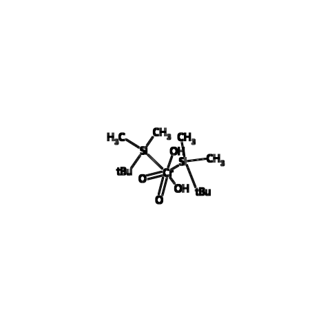 CC(C)(C)[Si](C)(C)[Cr](=[O])(=[O])([OH])([OH])[Si](C)(C)C(C)(C)C